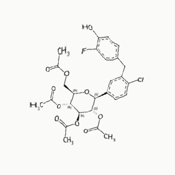 CC(=O)OC[C@H]1O[C@@H](c2ccc(Cl)c(Cc3ccc(O)c(F)c3)c2)[C@H](OC(C)=O)[C@@H](OC(C)=O)[C@@H]1OC(C)=O